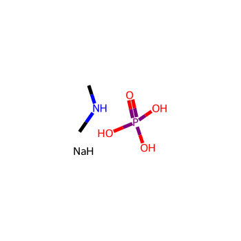 CNC.O=P(O)(O)O.[NaH]